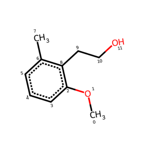 COc1c[c]cc(C)c1CCO